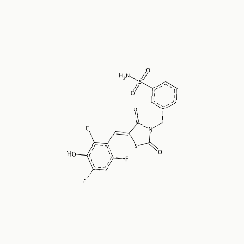 NS(=O)(=O)c1cccc(CN2C(=O)SC(=Cc3c(F)cc(F)c(O)c3F)C2=O)c1